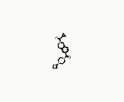 O=C(c1ccc2c(c1)CCN(C(=O)C1CC1)C2)N1CCN(C2CCC2)CC1